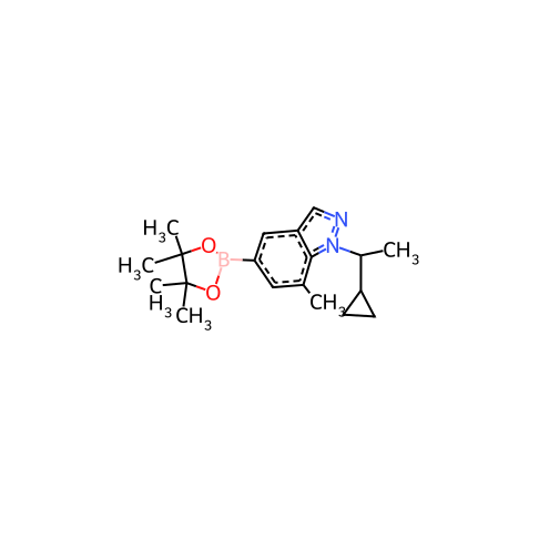 Cc1cc(B2OC(C)(C)C(C)(C)O2)cc2cnn(C(C)C3CC3)c12